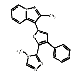 Cc1nn2ccccc2c1-c1cc(-c2ccccc2)c(-c2nncn2C)s1